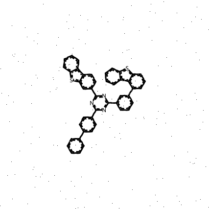 c1ccc(-c2ccc(-c3nc(-c4cccc(-c5cccc6sc7ccccc7c56)c4)nc(-c4ccc5c(c4)sc4ccccc45)n3)cc2)cc1